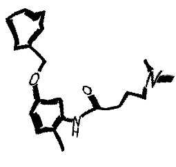 Cc1ccc(OCc2ccccc2)cc1NC(=O)CCCN(C)C